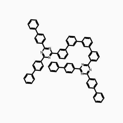 c1ccc(-c2ccc(-c3nc(-c4ccc(-c5ccccc5)cc4)nc(-c4cccc(-c5cccc(-c6cccc(-c7cccc(-c8nc(-c9ccc(-c%10ccccc%10)cc9)nc(-c9ccc(-c%10ccccc%10)cc9)n8)c7)c6)c5)c4)n3)cc2)cc1